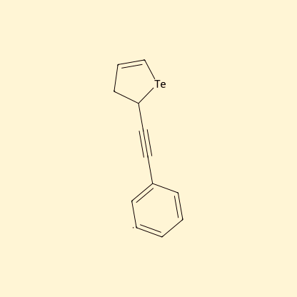 C(#CC1CC=C[Te]1)c1c[c]ccc1